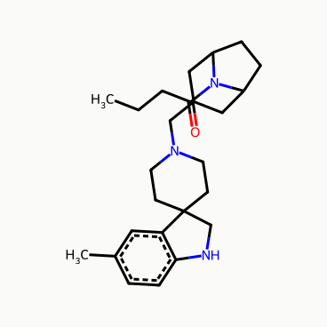 CCCC(=O)N1C2CCC1CC(CN1CCC3(CC1)CNc1ccc(C)cc13)C2